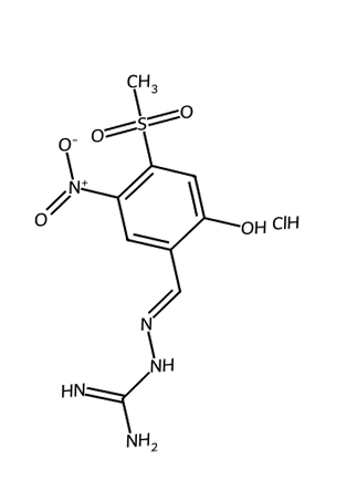 CS(=O)(=O)c1cc(O)c(/C=N/NC(=N)N)cc1[N+](=O)[O-].Cl